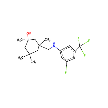 CC1(C)CC(C)(O)CC(C)(CNc2cc(F)cc(C(F)(F)F)c2)C1